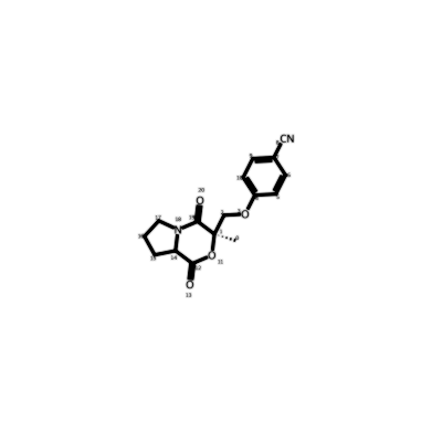 C[C@]1(COc2ccc(C#N)cc2)OC(=O)C2CCCN2C1=O